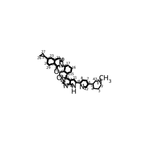 CN1CCCC(c2ccc(-c3cc4c(-c5cccc(-n6ncc7cc(C8CC8)ccc7c6=O)c5CO)ncnc4[nH]3)nc2)C1